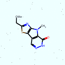 COCc1nc2c(s1)c1cn[nH]c(=O)c1n2C